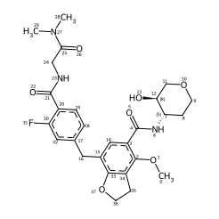 COc1c(C(=O)N[C@H]2CCOC[C@@H]2O)cc(Cc2ccc(C(=O)NCC(=O)N(C)C)c(F)c2)c2c1CCO2